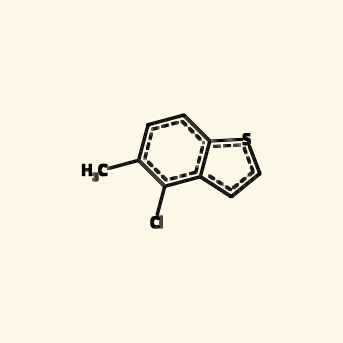 Cc1ccc2sccc2c1Cl